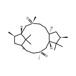 C[C@@H]1C[C@@H]2CC[P@](C)(=O)C[C@@H]3[C@@H](CC[P@@](C)(=O)C[C@@H]1C2(C)C)C[C@@H](C)C3(C)C